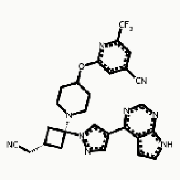 N#CC[C@H]1C[C@](N2CCC(Oc3cc(C#N)cc(C(F)(F)F)n3)CC2)(n2cc(-c3ncnc4[nH]ccc34)cn2)C1